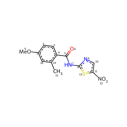 COc1ccc(C(=O)Nc2ncc([N+](=O)[O-])s2)c(C)c1